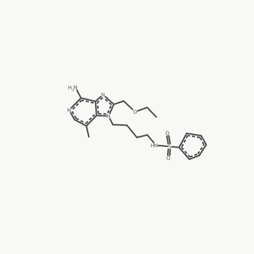 CCOCc1nc2c(N)ncc(C)c2n1CCCCNS(=O)(=O)c1ccccc1